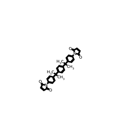 CC(C)(c1ccc(N2C(=O)C=CC2=O)cc1)c1ccc(C(C)(C)c2ccc(N3C(=O)C=CC3=O)cc2)cc1